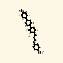 CCCC1CCC(/C=C/CCc2ccc(C3=CCC(c4ccc(CC)cc4)CC3)c(F)c2F)CC1